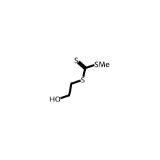 CSC(=S)SCCO